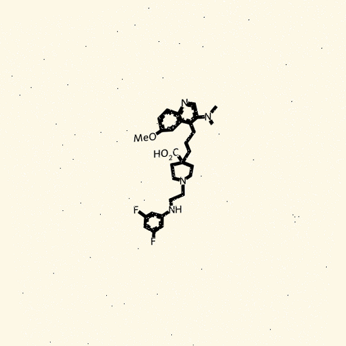 COc1ccc2ncc(N(C)C)c(CCCC3(C(=O)O)CCN(CCNc4cc(F)cc(F)c4)CC3)c2c1